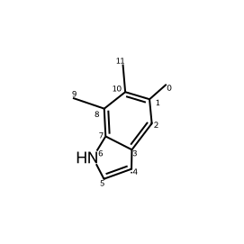 Cc1cc2[c]c[nH]c2c(C)c1C